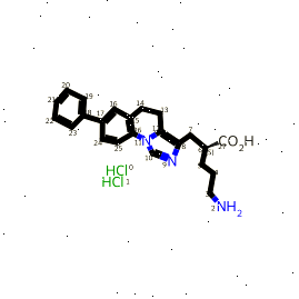 Cl.Cl.NCCC[C@@H](Cc1ncn2c1CCc1cc(-c3ccccc3)ccc1-2)C(=O)O